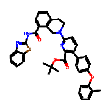 Cc1ccccc1Oc1ccc(-c2ccc(N3CCc4cccc(C(=O)Nc5nc6ccccc6s5)c4C3)nc2C(=O)OC(C)(C)C)cc1